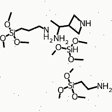 CC(N)C1CNC1.CO[SiH](OC)OC.CO[Si](CCCN)(OC)OC.CO[Si](CCN)(OC)OC